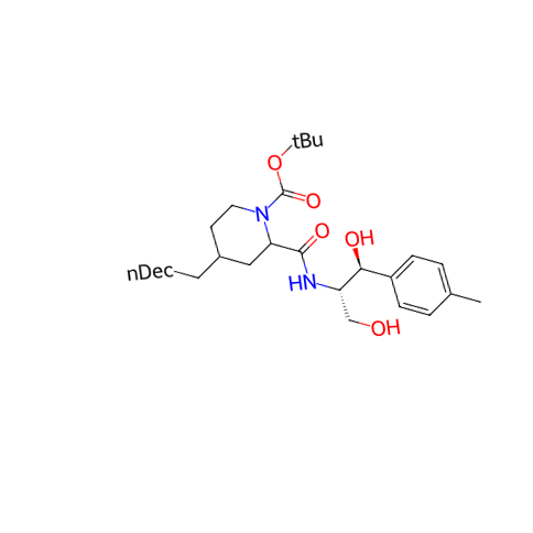 CCCCCCCCCCCC1CCN(C(=O)OC(C)(C)C)C(C(=O)N[C@@H](CO)[C@@H](O)c2ccc(C)cc2)C1